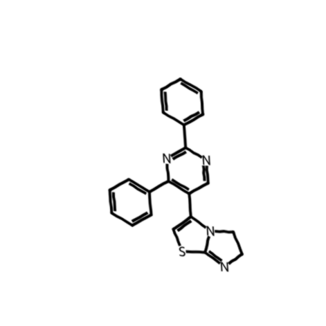 C1=C(c2cnc(-c3ccccc3)nc2-c2ccccc2)N2CCN=C2S1